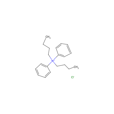 CCCC[N+](CCCC)(c1ccccc1)c1ccccc1.[Cl-]